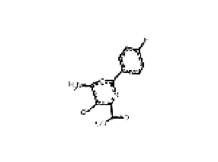 Nc1cc(-c2ccc(F)cc2)nc(C(=O)O)c1Cl